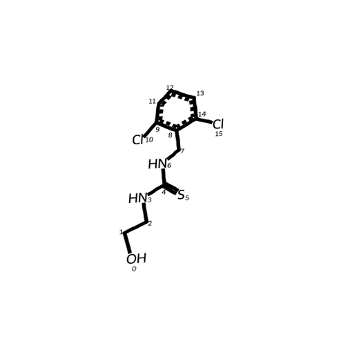 OCCNC(=S)NCc1c(Cl)cccc1Cl